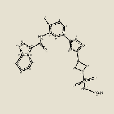 Cc1ccc(-c2noc(C3CN(S(=O)(=O)NC(=O)O)C3)n2)cc1NC(=O)c1cnc2ccccn12